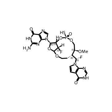 CO[C@@H]1COP(=O)(S)O[C@@H]2[C@H](F)C(OCC[C@H]1[C@H](F)n1ccc3c(=O)[nH]cnc31)O[C@H]2n1cnc2c(=O)[nH]c(N)nc21